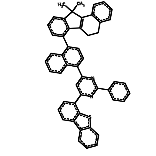 CC1(C)C2=C(CCc3ccccc32)c2c(-c3ccc(-c4cc(-c5cccc6c5sc5ccccc56)nc(-c5ccccc5)n4)c4ccccc34)cccc21